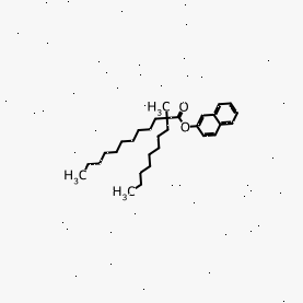 CCCCCCCCCCC(C)(CCCCCCCC)C(=O)Oc1ccc2ccccc2c1